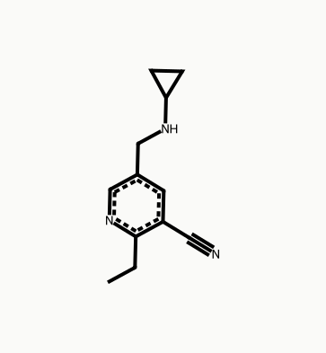 CCc1ncc(CNC2CC2)cc1C#N